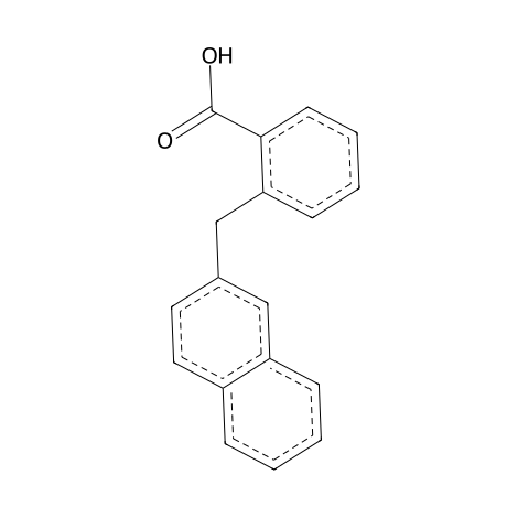 O=C(O)c1ccccc1Cc1ccc2ccccc2c1